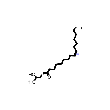 CCCCCC/C=C\CCCCCCCC(=O)OCC(C)O